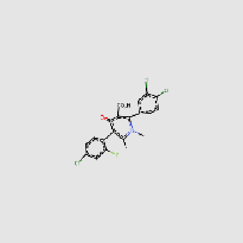 Cc1c(-c2ccc(Cl)cc2F)c(=O)c(C(=O)O)c(-c2ccc(Cl)c(Cl)c2)n1C